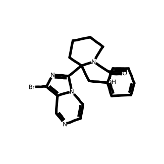 O=C(O)N1CCCCC1(Cc1ccccc1)c1nc(Br)c2cnccn12